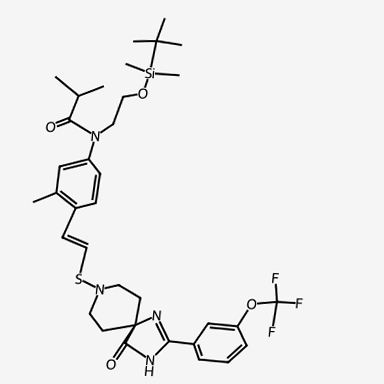 Cc1cc(N(CCO[Si](C)(C)C(C)(C)C)C(=O)C(C)C)ccc1/C=C/SN1CCC2(CC1)N=C(c1cccc(OC(F)(F)F)c1)NC2=O